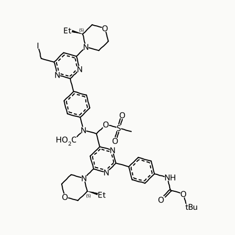 CC[C@H]1COCCN1c1cc(CI)nc(-c2ccc(N(C(=O)O)C(OS(C)(=O)=O)c3cc(N4CCOC[C@@H]4CC)nc(-c4ccc(NC(=O)OC(C)(C)C)cc4)n3)cc2)n1